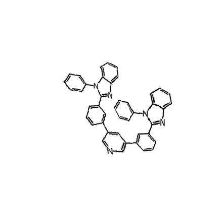 c1ccc(-n2c(-c3cccc(-c4cncc(-c5cccc(-c6nc7ccccc7n6-c6ccccc6)c5)c4)c3)nc3ccccc32)cc1